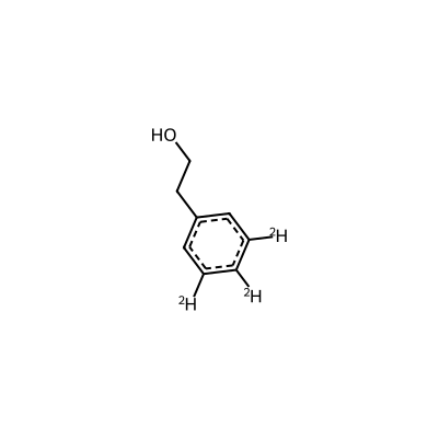 [2H]c1cc(CCO)cc([2H])c1[2H]